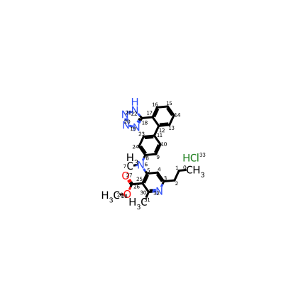 CCCc1cc(N(C)c2ccc(-c3ccccc3-c3nnn[nH]3)cc2)c(C(=O)OC)c(C)n1.Cl